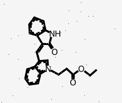 CCOC(=O)CCn1cc(C=C2C(=O)Nc3ccccc32)c2ccccc21